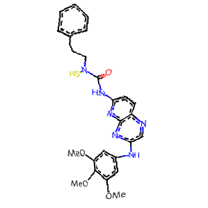 COc1cc(Nc2cnc3ccc(NC(=O)N(S)CCc4ccccc4)nc3n2)cc(OC)c1OC